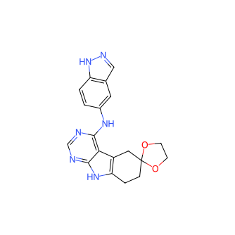 c1nc(Nc2ccc3[nH]ncc3c2)c2c3c([nH]c2n1)CCC1(C3)OCCO1